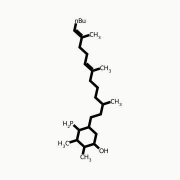 CCCC/C=C(\C)CC/C=C(\C)CCCC(C)CCC1CC(O)C(C)C(C)C1P